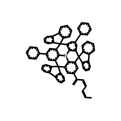 C=C(/C=C\C=C/C)c1cc2c3c(c1)C1(c4ccccc4-c4ccccc41)c1cc(-c4ccccc4)cc4c1N3c1c(cc(-c3ccccc3)cc1C41c3ccccc3-c3ccccc31)C21c2ccccc2-c2ccccc21